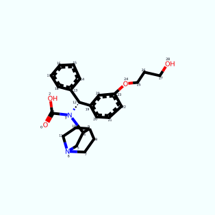 O=C(O)N(C1CN2CCC1CC2)[C@H](c1ccccc1)c1cccc(OCCCO)c1